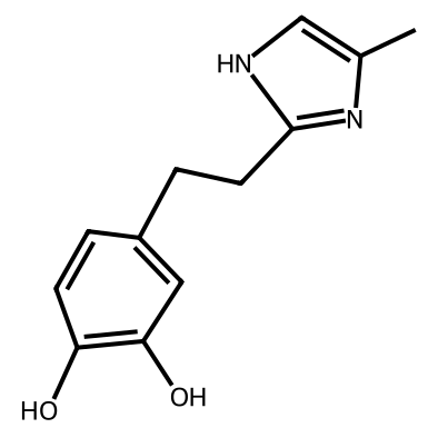 Cc1c[nH]c(CCc2ccc(O)c(O)c2)n1